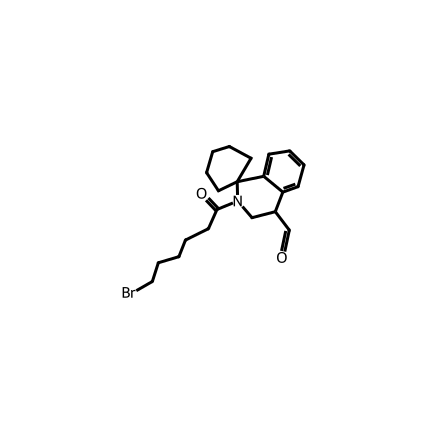 O=CC1CN(C(=O)CCCCCBr)C2(CCCCC2)c2ccccc21